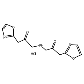 Cl.O=C(CPCC(=O)Cc1ncco1)Cc1ncco1